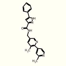 Cc1cc(-c2ncc(CNC(=O)c3cc(-c4ccccc4)[nH]n3)cc2C)ccn1